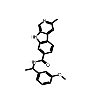 COc1cccc(C(C)NC(=O)c2ccc3c(c2)[nH]c2cnc(C)cc23)c1